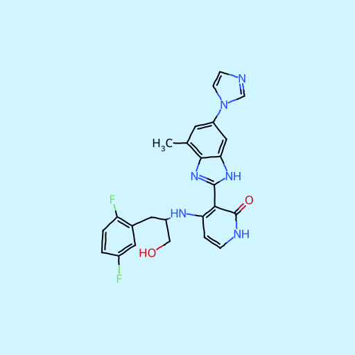 Cc1cc(-n2ccnc2)cc2[nH]c(-c3c(NC(CO)Cc4cc(F)ccc4F)cc[nH]c3=O)nc12